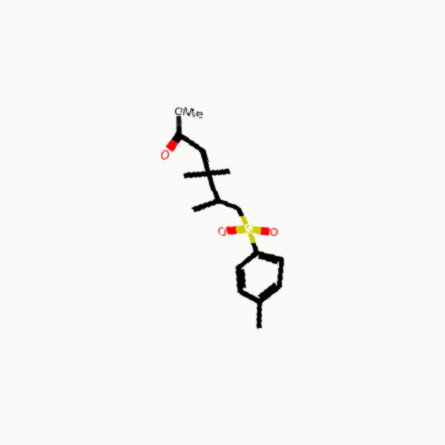 COC(=O)CC(C)(C)C(C)CS(=O)(=O)c1ccc(C)cc1